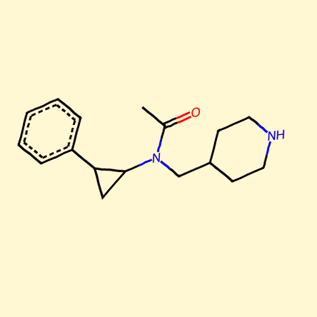 CC(=O)N(CC1CCNCC1)C1CC1c1ccccc1